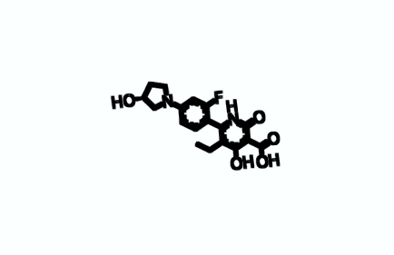 CCc1c(-c2ccc(N3CC[C@H](O)C3)cc2F)[nH]c(=O)c(C(=O)O)c1O